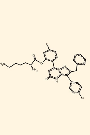 NCCCC[C@H](N)C(=O)Oc1cc(F)ccc1-c1cc(=O)[nH]c2c(-c3ccc(Cl)cc3)c(Cc3ccccc3)nn12